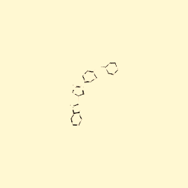 c1ccc(Oc2ccc(-n3cc(-c4nc5ccccc5o4)cn3)cc2)cc1